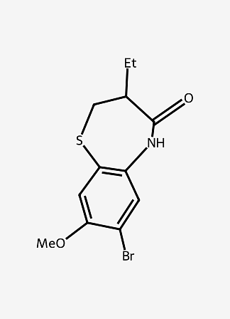 CCC1CSc2cc(OC)c(Br)cc2NC1=O